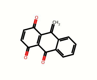 C=C1C2=C(C(=O)C=CC2=O)C(=O)c2ccccc21